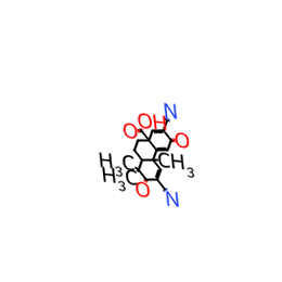 CC1(C)C(=O)C(C#N)=CC2(C)C3=CC(=O)C(C#N)=CC3(C(=O)O)CCC12